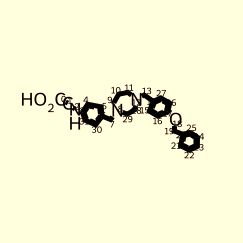 O=C(O)CNc1ccc(CN2CCCN(Cc3ccc(OCc4ccccc4)cc3)CC2)cc1